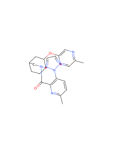 Cc1cnc(OC2CC3CCC2N(C(=O)c2nc(C)ccc2-n2nccn2)C3)cn1